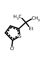 CCC(C)(C)c1ccc(Cl)s1